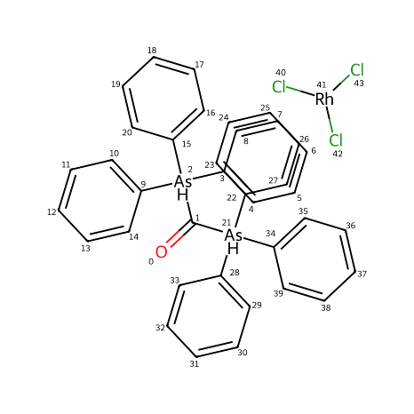 O=C([AsH](c1ccccc1)(c1ccccc1)c1ccccc1)[AsH](c1ccccc1)(c1ccccc1)c1ccccc1.[Cl][Rh]([Cl])[Cl]